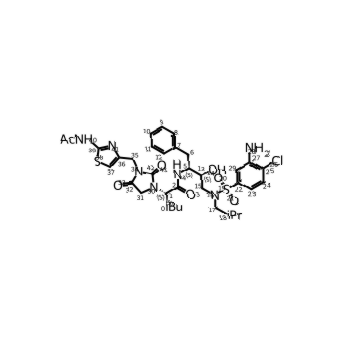 CC[C@H](C)[C@@H](C(=O)N[C@@H](Cc1ccccc1)[C@@H](O)CN(CC(C)C)S(=O)(=O)c1ccc(Cl)c(N)c1)N1CC(=O)N(Cc2csc(NC(C)=O)n2)C1=O